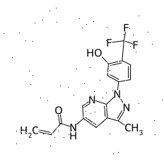 C=CC(=O)Nc1cnc2c(c1)c(C)nn2-c1ccc(C(F)(F)F)c(O)c1